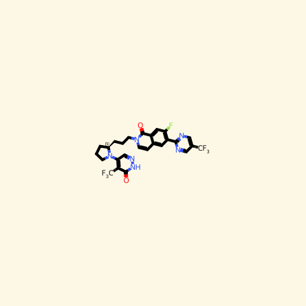 O=c1[nH]ncc(N2CCC[C@H]2CCCn2ccc3cc(-c4ncc(C(F)(F)F)cn4)c(F)cc3c2=O)c1C(F)(F)F